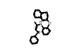 C/C(=C/C(=O)c1ccccc1)Nc1ccccc1Oc1ccc2ccccc2c1